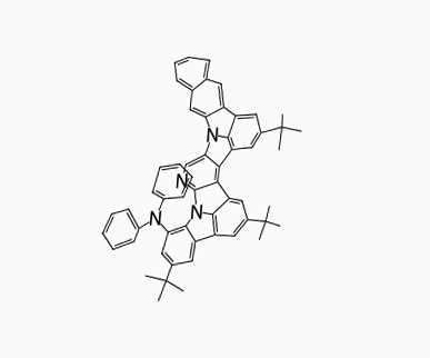 CC(C)(C)c1cc(N(c2ccccc2)c2ccccc2)c2c(c1)c1cc(C(C)(C)C)cc3c4c5c6cc(C(C)(C)C)cc7c8cc9ccccc9cc8n(c5cnc4n2c13)c76